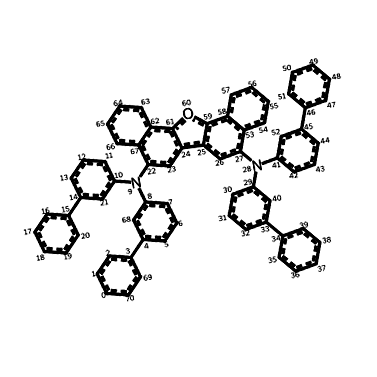 c1ccc(-c2cccc(N(c3cccc(-c4ccccc4)c3)c3cc4c5cc(N(c6cccc(-c7ccccc7)c6)c6cccc(-c7ccccc7)c6)c6ccccc6c5oc4c4ccccc34)c2)cc1